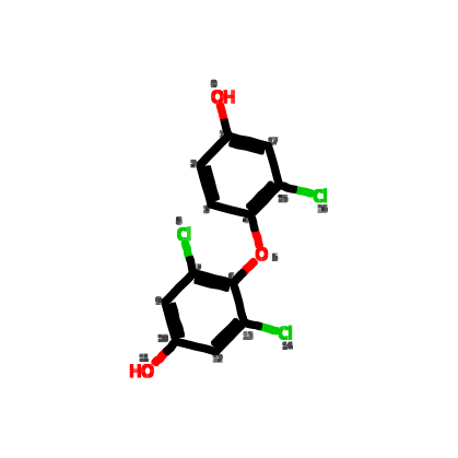 Oc1ccc(Oc2c(Cl)cc(O)cc2Cl)c(Cl)c1